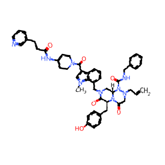 C=CCN1CC(=O)N2[C@@H](Cc3ccc(O)cc3)C(=O)N(Cc3cccc4c(C(=O)N5CCC(NC(=O)CCc6cccnc6)CC5)cn(C)c34)C[C@@H]2N1C(=O)NCc1ccccc1